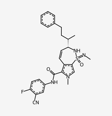 CN=S1(=O)N[C@@H](C(C)CCc2ccccc2)C=Cc2c1cn(C)c2C(=O)Nc1ccc(F)c(C#N)c1